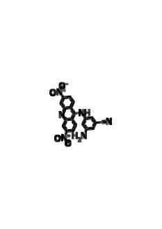 N#Cc1cc(N)cc(Nc2c3ccc([N+](=O)[O-])cc3nc3cc([N+](=O)[O-])ccc23)c1